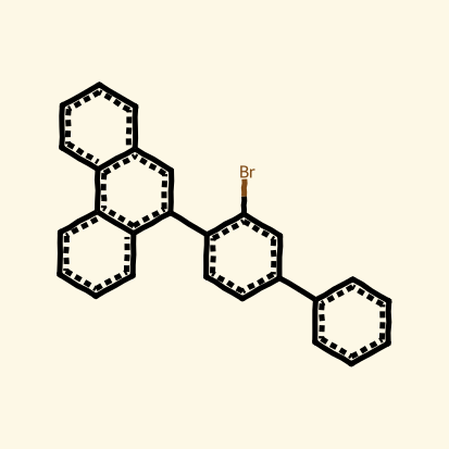 Brc1cc(-c2ccccc2)ccc1-c1cc2ccccc2c2ccccc12